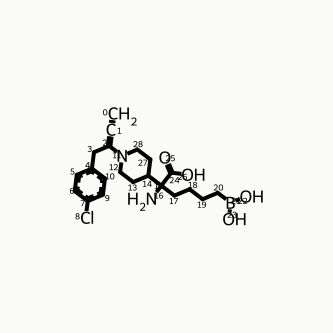 C=C=C(Cc1ccc(Cl)cc1)N1CCC(C(N)(CCCCB(O)O)C(=O)O)CC1